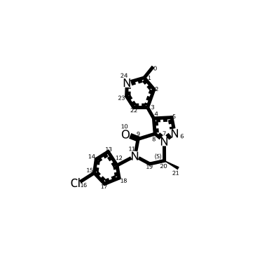 Cc1cc(-c2cnn3c2C(=O)N(c2ccc(Cl)cc2)C[C@@H]3C)ccn1